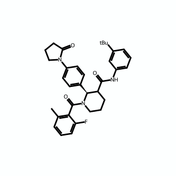 Cc1cccc(F)c1C(=O)N1CCCC(C(=O)Nc2cccc(C(C)(C)C)c2)[C@@H]1c1ccc(N2CCCC2=O)cc1